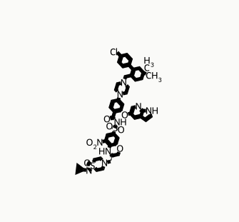 CC1(C)CCC(CN2CCN(c3ccc(C(=O)NS(=O)(=O)c4cc5c(c([N+](=O)[O-])c4)N[C@@H](CN4CCS(=O)(=NC6CC6)CC4)CO5)c(Oc4cnc5[nH]ccc5c4)c3)CC2)=C(c2ccc(Cl)cc2)C1